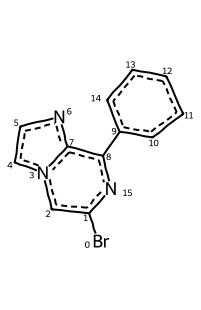 Brc1cn2ccnc2c(-c2ccccc2)n1